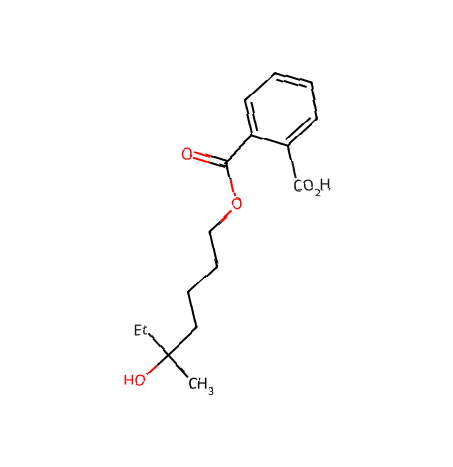 CCC(C)(O)CCCCOC(=O)c1ccccc1C(=O)O